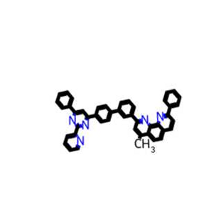 Cc1cc(-c2cccc(-c3ccc(-c4cc(-c5ccccc5)nc(-c5ccccn5)n4)cc3)c2)nc2c1ccc1ccc(-c3ccccc3)nc12